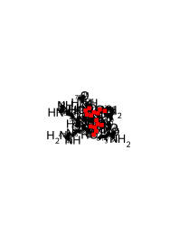 CC[C@H](C)[C@H](NC(=O)[C@H](Cc1ccccc1)NC(=O)[C@@H](NC(=O)[C@H](CC(=O)O)NC(=O)[C@H](C)NC(=O)[C@H](CO)NC(=O)[C@H](CCCNC(=N)N)NC(=O)[C@H](CCCNC(=N)N)NC(=O)[C@H](CCCCN)NC(=O)[C@H](C)NC(C)=O)[C@@H](C)CC)C(N)=O